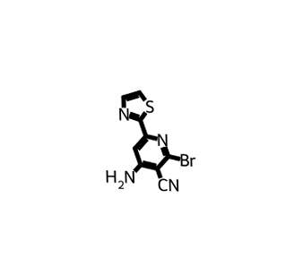 N#Cc1c(N)cc(-c2nccs2)nc1Br